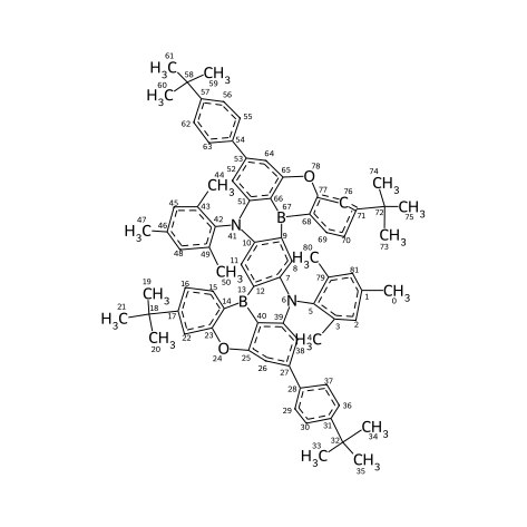 Cc1cc(C)c(N2c3cc4c(cc3B3c5ccc(C(C)(C)C)cc5Oc5cc(-c6ccc(C(C)(C)C)cc6)cc2c53)N(c2c(C)cc(C)cc2C)c2cc(-c3ccc(C(C)(C)C)cc3)cc3c2B4c2ccc(C(C)(C)C)cc2O3)c(C)c1